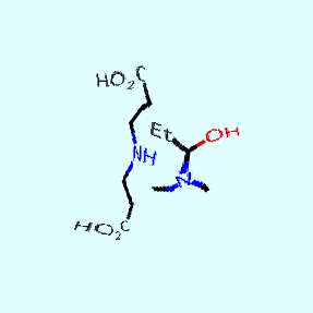 CCC(O)N(C)C.O=C(O)CCNCCC(=O)O